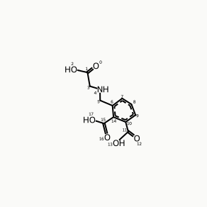 O=C(O)CNCc1cccc(C(=O)O)c1C(=O)O